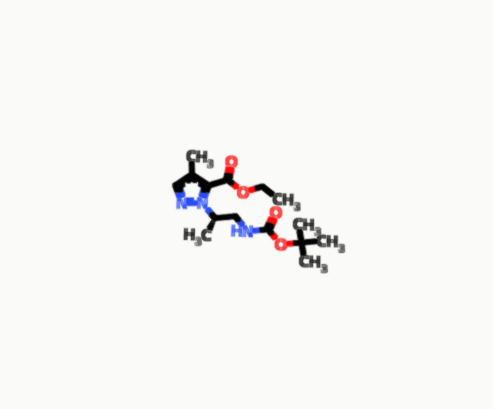 CCOC(=O)c1c(C)cnn1[C@H](C)CNC(=O)OC(C)(C)C